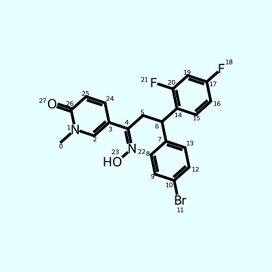 Cn1cc(C(CC(c2ccc(Br)cc2)c2ccc(F)cc2F)=NO)ccc1=O